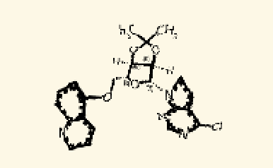 CC1(C)O[C@@H]2[C@H](O1)[C@@H](COc1cccc3ncccc13)O[C@H]2n1ccc2c(Cl)ncnc21